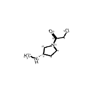 CN[C@H]1CCN(C(=O)CCl)C1